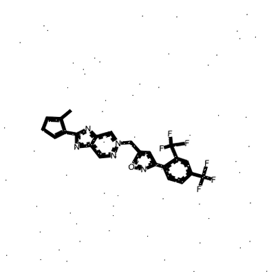 CC1=CCC=C1c1nc2cnn(Cc3cc(-c4ccc(C(F)(F)F)cc4C(F)(F)F)no3)cc-2n1